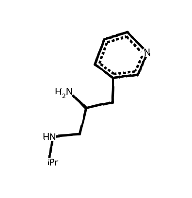 CC(C)NCC(N)Cc1cccnc1